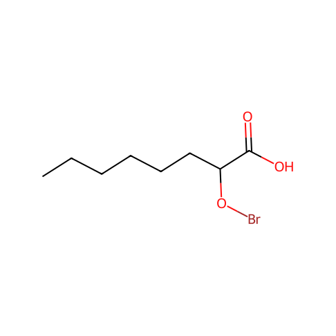 CCCCCCC(OBr)C(=O)O